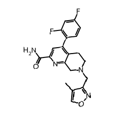 Cc1conc1CN1CCc2c(-c3ccc(F)cc3F)cc(C(N)=O)nc2C1